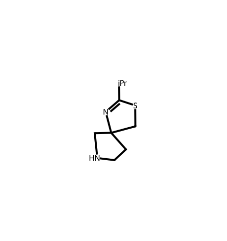 CC(C)C1=NC2(CCNC2)CS1